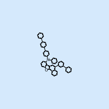 c1ccc(-c2ccc(-c3ccc(N(c4ccccc4)c4cccc5oc6c7ccccc7c(-c7cccc(-c8ccccc8)c7)cc6c45)cc3)cc2)cc1